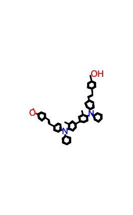 COc1ccc(C=Cc2ccc(N(c3ccccc3)c3ccc(-c4ccc(N(c5ccccc5)c5ccc(C=Cc6ccc(CO)cc6)cc5)c(C)c4)cc3C)cc2)cc1